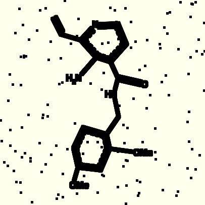 C=Cc1nccc(C(=O)NCc2ccc(OC)cc2OC)c1N